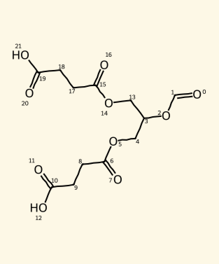 O=COC(COC(=O)CCC(=O)O)COC(=O)CCC(=O)O